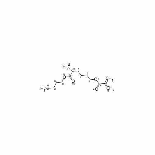 C=C(C)C(=O)OCCCC=C(C)C(=O)OCCC[SiH3]